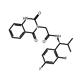 CC(C)[C@H](NC(=O)Cn1c(=O)[nH]c2ccccc2c1=O)c1ccc(F)cc1F